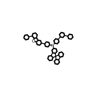 c1ccc(-c2cccc(-c3ccc(N(c4ccc(-c5ccc6oc7c(-c8ccccc8)cccc7c6c5)cc4)c4ccc5c(c4)-c4ccccc4C54c5ccccc5-c5ccccc54)cc3)c2)cc1